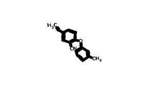 C=Cc1ccc(Oc2cccc(C)c2)c(C#N)c1